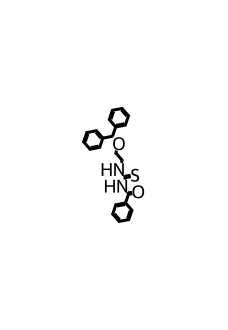 O=C(NC(=S)NCCOC(c1ccccc1)c1ccccc1)c1ccccc1